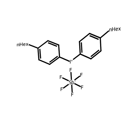 CCCCCCc1ccc([I+]c2ccc(CCCCCC)cc2)cc1.[F][Sb-]([F])([F])([F])([F])[F]